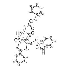 O=C(CC1NC(=O)C2(CCN(c3ccccc3)CC2)N(CCc2c[nH]c3ccccc23)C1=O)OCc1ccccc1